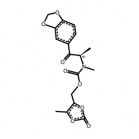 Cc1oc(=O)oc1COC(=O)N(C)[C@H](C)C(=O)c1ccc2c(c1)OCO2